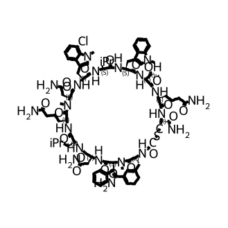 CC(C)C[C@@H]1NC(=O)[C@H](CC(N)=O)NC(=O)[C@H](Cc2ccccc2)N(C)C(=O)[C@@H](CC2=CC(C(N)=O)=CCC2)NC(=O)CSC[C@@H](C(N)=O)NC(=O)[C@H](CCCC(N)=O)NC(=O)[C@H]([C@@H](C)O)NC(=O)[C@H](Cc2cn(C)c3ccccc23)NC(=O)[C@H](C(C)C)NC(=O)[C@H](Cc2cn(C)c3c(Cl)cccc23)NC(=O)[C@H](CC(N)=O)N(C)C(=O)[C@H](CCCC(N)=O)NC1=O